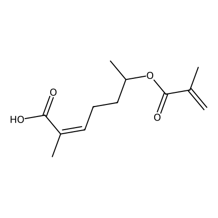 C=C(C)C(=O)OC(C)CCC=C(C)C(=O)O